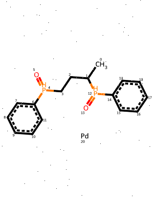 CC(CC[PH](=O)c1ccccc1)[PH](=O)c1ccccc1.[Pd]